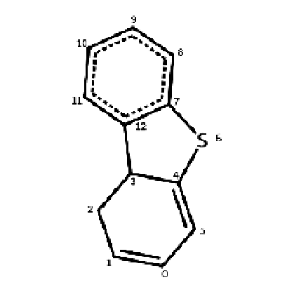 C1=CCC2C(=C1)Sc1ccccc12